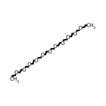 C=CCOCCOCCOCCOCCOCCOCCOCCOCCOCCOCCOCC=C